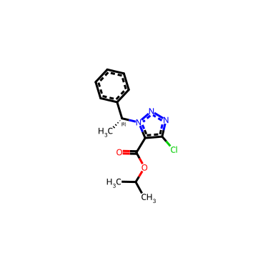 CC(C)OC(=O)c1c(Cl)nnn1[C@H](C)c1ccccc1